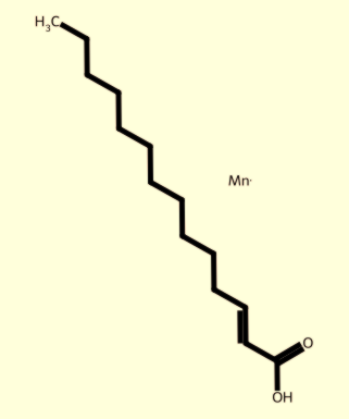 CCCCCCCCCCCC=CC(=O)O.[Mn]